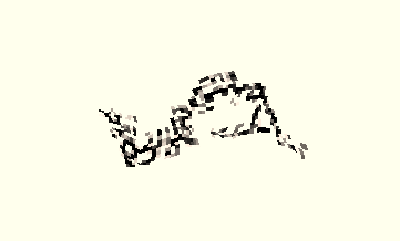 CCC(C)C(NC(=O)CCNC(=O)CN(CC(=O)O)C(=O)CCNC(=O)CN1CCC(CN2CCN(CC(=O)O)CCN(CC(=O)O)CC2)CC1)C(=O)N[C@H]1CCn2ccc3c2C(=C[C@@H](C(=O)NC2CC(=O)OC2O)C3)C1=O